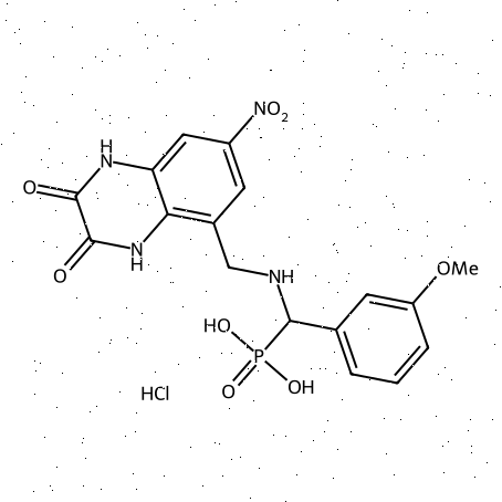 COc1cccc(C(NCc2cc([N+](=O)[O-])cc3[nH]c(=O)c(=O)[nH]c23)P(=O)(O)O)c1.Cl